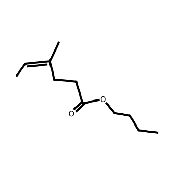 CC=C(C)CCC(=O)OCCCC